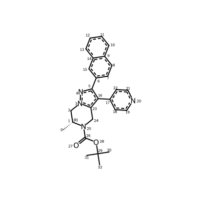 C[C@@H]1Cn2nc(-c3ccc4ccccc4c3)c(-c3ccncc3)c2CN1C(=O)OC(C)(C)C